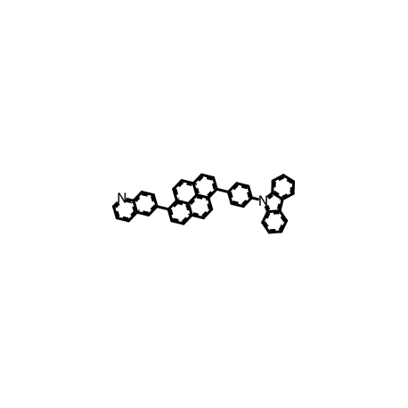 c1cnc2ccc(-c3ccc4ccc5c(-c6ccc(-n7c8ccccc8c8ccccc87)cc6)ccc6ccc3c4c65)cc2c1